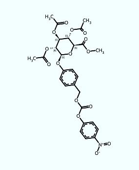 COC(=O)[C@H]1O[C@@H](Oc2ccc(COC(=O)Oc3ccc([N+](=O)[O-])cc3)cc2)[C@H](OC(C)=O)[C@@H](OC(C)=O)[C@@H]1OC(C)=O